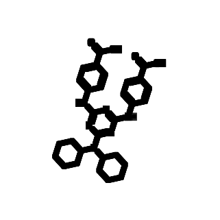 O=C(O)c1ccc(Nc2nc(Nc3ccc(C(=O)O)cc3)nc(N(C3CCCCC3)C3CCCCC3)n2)cc1